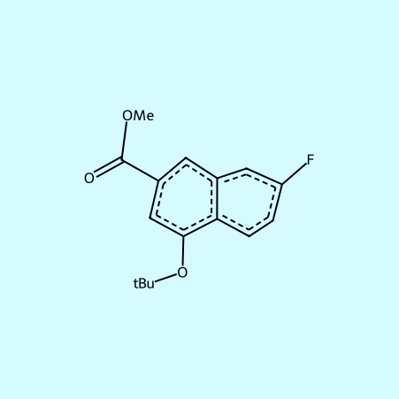 COC(=O)c1cc(OC(C)(C)C)c2ccc(F)cc2c1